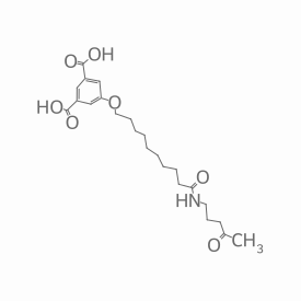 CC(=O)CCCNC(=O)CCCCCCCCCOc1cc(C(=O)O)cc(C(=O)O)c1